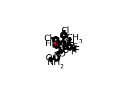 CCOc1cc(C(F)(F)F)ccc1C1(C(=O)N(C(=O)CN2CCCC(C(N)=O)C2)C2CCNCC2)NC(c2ccc(Cl)cc2)C(c2ccc(Cl)cc2)N1